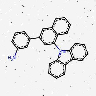 Nc1cccc(-c2cc(-n3c4ccccc4c4ccccc43)c3ccccc3c2)c1